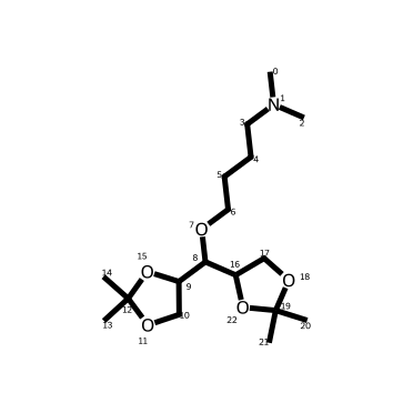 CN(C)CCCCOC(C1COC(C)(C)O1)C1COC(C)(C)O1